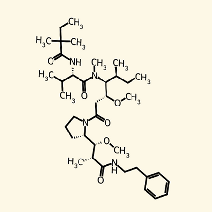 CC[C@H](C)[C@@H]([C@@H](CC(=O)N1CCC[C@H]1[C@H](OC)[C@@H](C)C(=O)NCCc1ccccc1)OC)N(C)C(=O)[C@@H](NC(=O)C(C)(C)CC)C(C)C